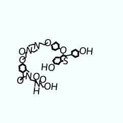 O=C(CO)NC(=O)CN1Cc2cc(OCC(=O)N3CCN(CCOc4ccc(Oc5c(-c6ccc(O)cc6)sc6cc(O)ccc56)cc4)CC3)ccc2C1=O